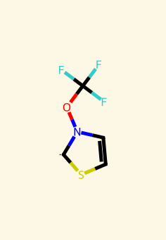 FC(F)(F)ON1[CH]SC=C1